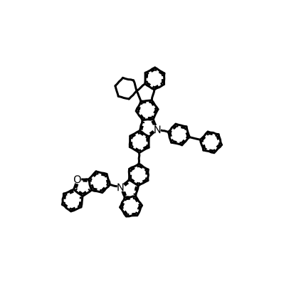 c1ccc(-c2ccc(-n3c4cc(-c5ccc6c7ccccc7n(-c7ccc8oc9ccccc9c8c7)c6c5)ccc4c4cc5c(cc43)-c3ccccc3C53CCCCC3)cc2)cc1